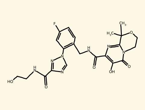 CC1(C)OCCn2c1nc(C(=O)NCc1ccc(F)cc1-n1cnc(C(=O)NCCO)n1)c(O)c2=O